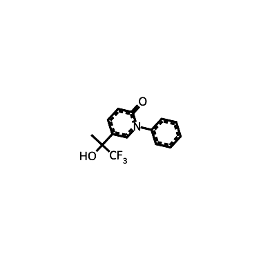 CC(O)(c1ccc(=O)n(-c2ccccc2)c1)C(F)(F)F